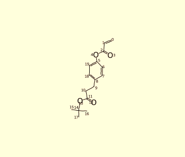 C=CC(=O)Oc1ccc(CCC(=O)OC(C)(C)C)cc1